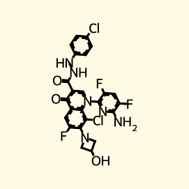 Nc1nc(-n2cc(C(=O)NNc3ccc(Cl)cc3)c(=O)c3cc(F)c(N4CC(O)C4)c(Cl)c32)c(F)cc1F